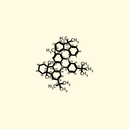 Cc1cc2c3c(c1)N(c1cccc4c1-c1ccccc1C4(C)C)c1cc(C(C)(C)C)ccc1B3c1cc(C(C)(C)C)cc3c1C2C1(C)CCCCC31C